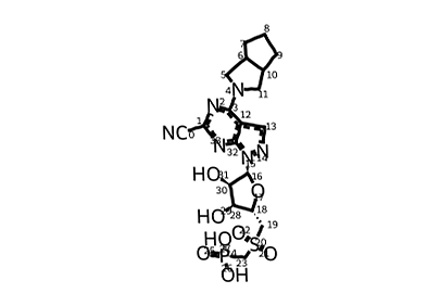 N#Cc1nc(N2CC3CCCC3C2)c2cnn([C@@H]3O[C@H](CS(=O)(=O)CP(=O)(O)O)[C@@H](O)[C@H]3O)c2n1